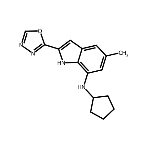 Cc1cc(NC2CCCC2)c2[nH]c(-c3nnco3)cc2c1